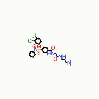 CN(C)CCCNC(=O)CNC(=O)c1ccc(S(=O)(=O)N(Oc2cccc(Cl)c2Cl)c2ccccc2)cc1